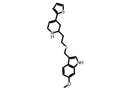 COc1ccc2c(CSCCC3CC(c4cccs4)=CCN3)c[nH]c2c1